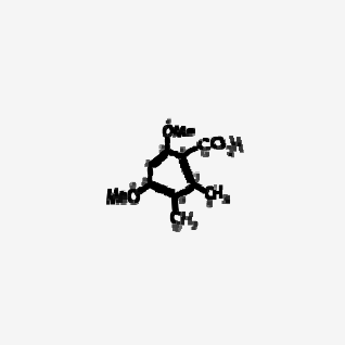 COc1cc(OC)c(C(=O)O)c(C)c1C